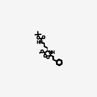 COC(=O)[C@H](CCCNC(=O)OC(C)(C)C)NC(=O)C=Cc1ccccc1